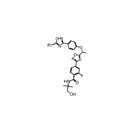 CC(C)c1nc(-c2ccc(OC(C)c3nc(-c4ccc(C(=O)NC(C)(C)CO)c(F)c4)no3)cc2)no1